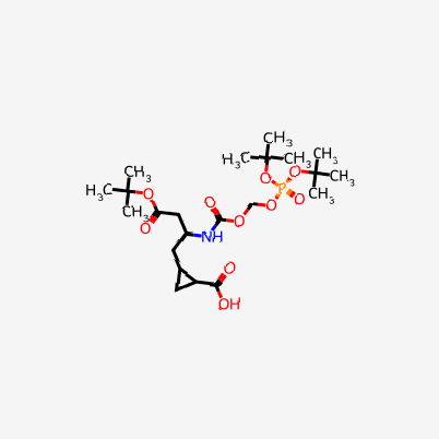 CC(C)(C)OC(=O)CC(CC1CC1C(=O)O)NC(=O)OCOP(=O)(OC(C)(C)C)OC(C)(C)C